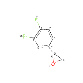 Fc1ccc([C@@H]2CO2)cc1F